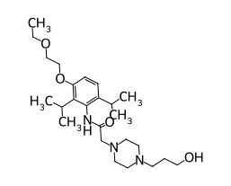 CCOCCOc1ccc(C(C)C)c(NC(=O)CN2CCN(CCCO)CC2)c1C(C)C